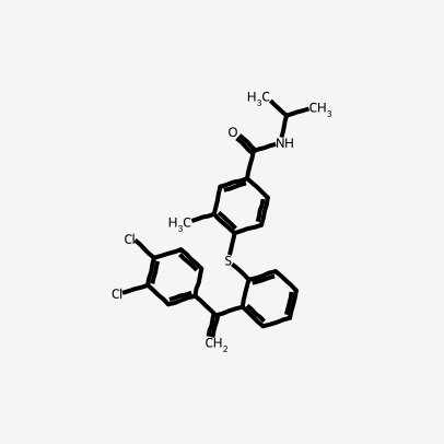 C=C(c1ccc(Cl)c(Cl)c1)c1ccccc1Sc1ccc(C(=O)NC(C)C)cc1C